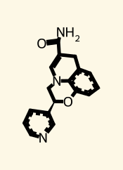 NC(=O)C1=CN2C[C@H](c3cccnc3)Oc3cccc(c32)C1